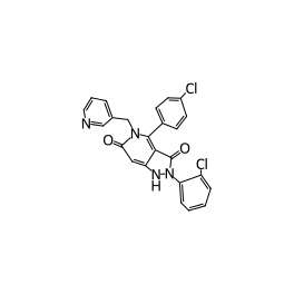 O=c1c2c(-c3ccc(Cl)cc3)n(Cc3cccnc3)c(=O)cc2[nH]n1-c1ccccc1Cl